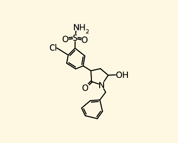 NS(=O)(=O)c1cc(C2CC(O)N(Cc3ccccc3)C2=O)ccc1Cl